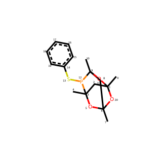 CC12CC3(C)OC(C)(CC(C)(O1)P3Sc1ccccc1)O2